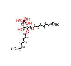 CCCCCCCCCCCCCCCCOCC(CO)OCCCCCCCCCCCCCCCC.O=P(O)(O)O